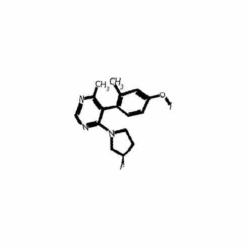 Cc1cc(OI)ccc1-c1c(C)ncnc1N1CC[C@@H](F)C1